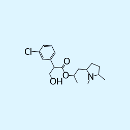 CC(CC1CCC(C)N1C)OC(=O)C(CO)c1cccc(Cl)c1